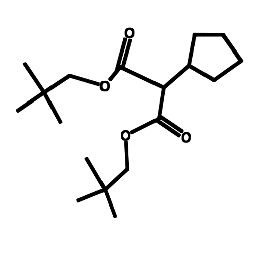 CC(C)(C)COC(=O)C(C(=O)OCC(C)(C)C)C1CCCC1